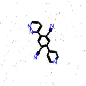 N#Cc1cc(-c2cccnn2)c(C#N)cc1-c1ccncc1